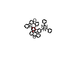 c1ccc(-c2nc(-c3ccccc3)nc(-c3ccc4c(c3)-c3c(-c5cccc6oc7ccc8c9ccccc9n(-c9ccccc9)c8c7c56)cccc3C43c4ccccc4Oc4ccccc43)n2)cc1